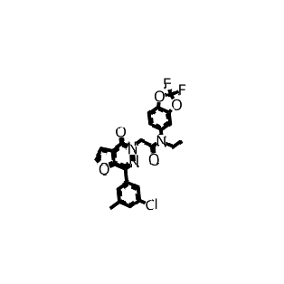 CCN(C(=O)Cn1nc(-c2cc(C)cc(Cl)c2)c2occc2c1=O)c1ccc2c(c1)OC(F)(F)O2